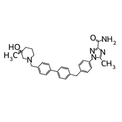 Cc1nc(C(N)=O)nn1-c1ccc(Cc2ccc(-c3ccc(CN4CCC[C@@](C)(O)C4)cc3)cc2)cc1